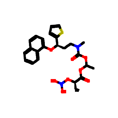 CC(OC(=O)[C@@H](ON(O)O)C(C)C)OC(=O)N(C)CC[C@H](Oc1cccc2ccccc12)c1cccs1